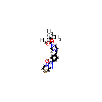 CC(C)(C)OC(=O)N1CCN(Cc2ccc(NC(=O)N3CCSCC3)cc2)CC1